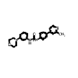 Cc1cc(-c2ccc(NC(=O)Nc3cccc(N4CCOCC4)c3)cc2)ccn1